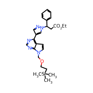 CCOC(=O)CC(c1ccccc1)n1cc(-c2ncnc3c2ccn3COCC[Si](C)(C)C)cn1